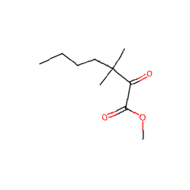 CCCCC(C)(C)C(=O)C(=O)OC